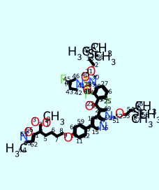 COC(=O)C(CCCCOc1ccc(-c2cnc3c(c2)c(C(=O)c2c(F)ccc(N(COCC[Si](C)(C)C)S(=O)(=O)N4CC[C@@H](F)C4)c2F)cn3COCC[Si](C)(C)C)cc1)c1cc(C)no1